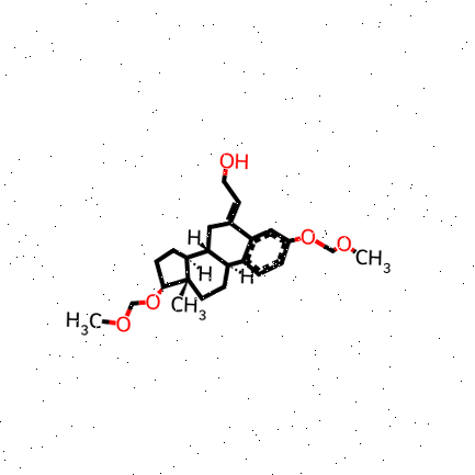 COCOc1ccc2c(c1)C(=CCO)C[C@@H]1[C@@H]2CC[C@]2(C)[C@@H](OCOC)CC[C@@H]12